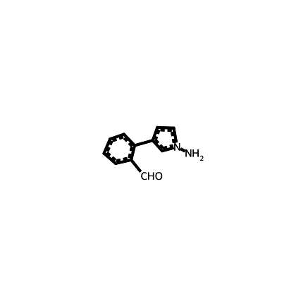 Nn1ccc(-c2ccccc2C=O)c1